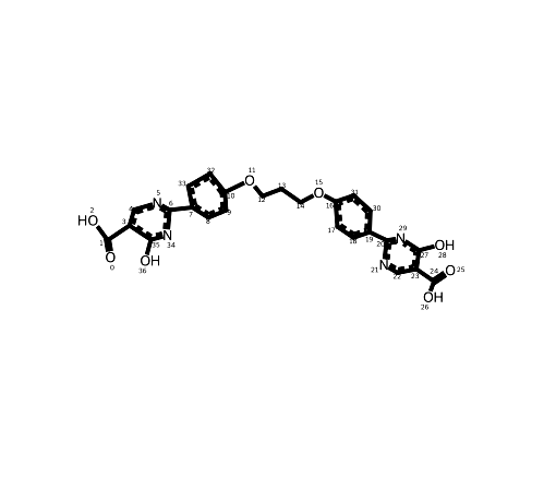 O=C(O)c1cnc(-c2ccc(OCCCOc3ccc(-c4ncc(C(=O)O)c(O)n4)cc3)cc2)nc1O